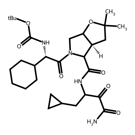 CC(C)(C)OC(=O)N[C@H](C(=O)N1CC2OC(C)(C)C[C@H]2C1C(=O)NC(CC1CC1)C(=O)C(N)=O)C1CCCCC1